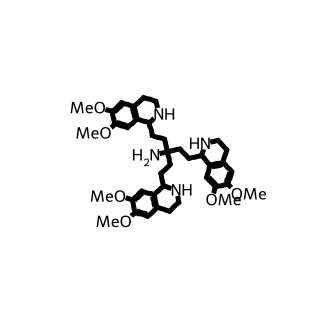 COc1cc2c(cc1OC)C(CCC(N)(CCC1NCCc3cc(OC)c(OC)cc31)CCC1NCCc3cc(OC)c(OC)cc31)NCC2